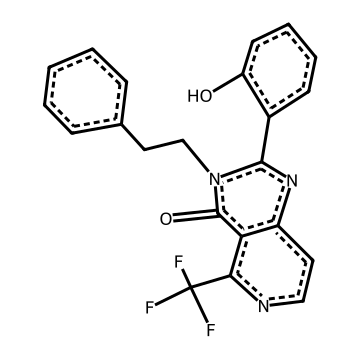 O=c1c2c(C(F)(F)F)nccc2nc(-c2ccccc2O)n1CCc1ccccc1